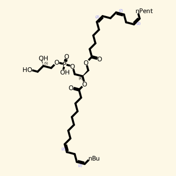 CCCC/C=C\C/C=C\CCCCCCCC(=O)O[C@H](COC(=O)CCCC/C=C\C/C=C\C/C=C\CCCCC)COP(=O)(O)OC[C@@H](O)CO